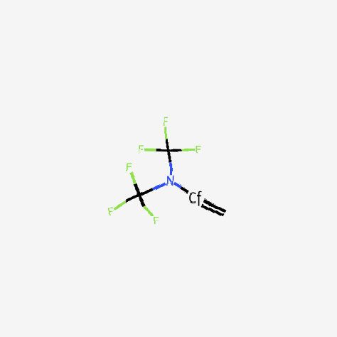 [CH2]=[Cf][N](C(F)(F)F)C(F)(F)F